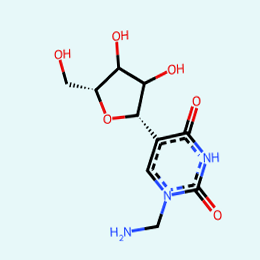 NCn1cc([C@@H]2O[C@H](CO)C(O)C2O)c(=O)[nH]c1=O